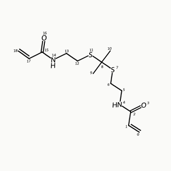 C=CC(=O)NCCSC(C)(C)SCCNC(=O)C=C